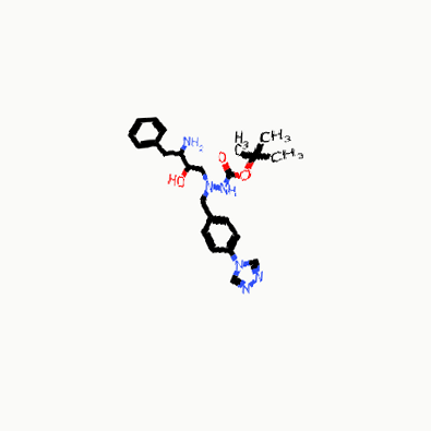 CC(C)(C)OC(=O)NN(Cc1ccc(-n2cnnc2)cc1)CC(O)C(N)Cc1ccccc1